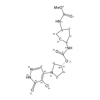 COC(=O)NC1CCC(NC(=O)O[C@@H]2CCN(c3cn[nH]c(=O)c3Cl)C2)CC1